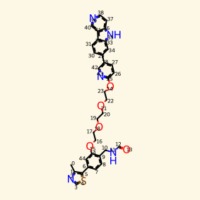 Cc1ncsc1-c1ccc(CNC=O)c(OCCOCCOCCOc2ccc(-c3ccc4c(c3)[nH]c3ccncc34)cn2)c1